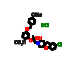 COc1ccc(COc2ccc(C(=O)O)c(OC(C)(O)CN3CCC4(CC3)Cc3cc(Cl)ccc3O4)c2)cc1.Cl